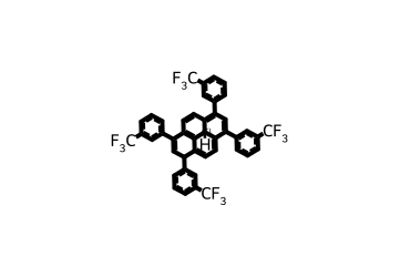 FC(F)(F)c1cccc(C2=CC(c3cccc(C(F)(F)F)c3)=C3C=CC4=C5C(=CC=C2[C@@H]35)C(c2cccc(C(F)(F)F)c2)C=C4c2cccc(C(F)(F)F)c2)c1